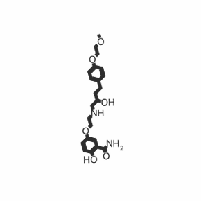 COCCOc1ccc(CCC(O)CNCCOc2ccc(O)c(C(N)=O)c2)cc1